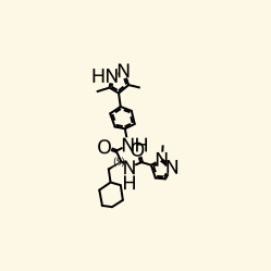 Cc1n[nH]c(C)c1-c1ccc(NC(=O)[C@H](CC2CCCCC2)NC(=O)c2ccnn2C)cc1